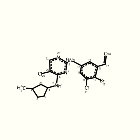 CC1CCC(Nc2nc(Nc3cc(Cl)c(Br)c(C=O)c3)ncc2Cl)C1